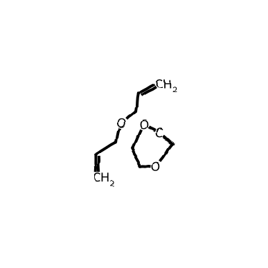 C1COCCO1.C=CCOCC=C